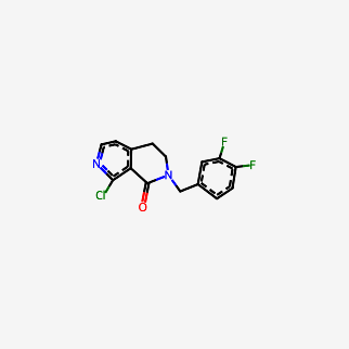 O=C1c2c(ccnc2Cl)CCN1Cc1ccc(F)c(F)c1